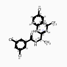 C[C@H](NC(=O)c1cc(Cl)cc(Cl)c1)/C(=N/C(=N)C(F)(F)F)Nc1ccc(Cl)cn1